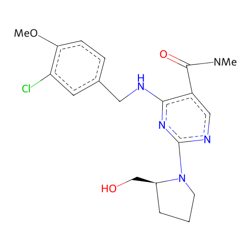 CNC(=O)c1cnc(N2CCC[C@H]2CO)nc1NCc1ccc(OC)c(Cl)c1